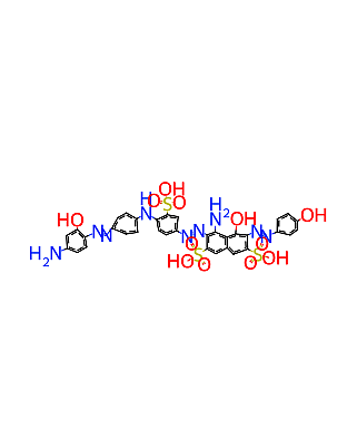 Nc1ccc(/N=N/c2ccc(Nc3ccc(/N=N/c4c(S(=O)(=O)O)cc5cc(S(=O)(=O)O)c(/N=N/c6ccc(O)cc6)c(O)c5c4N)cc3S(=O)(=O)O)cc2)c(O)c1